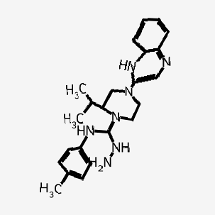 Cc1ccc(NC(NN)N2CCN(C3=CN=C4C=CC=CC4N3)CC2C(C)C)cc1